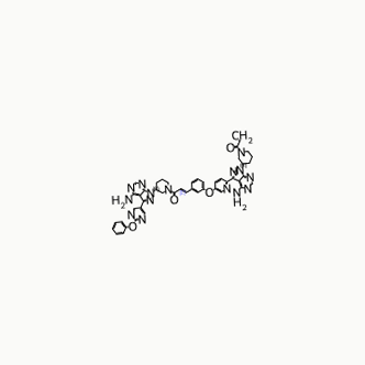 C=CC(=O)N1CCC[C@@H](n2nc(-c3ccc(Oc4cccc(/C=C/C(=O)N5CCC[C@@H](n6nc(-c7cnc(Oc8ccccc8)nc7)c7c(N)ncnc76)C5)c4)cn3)c3c(N)ncnc32)C1